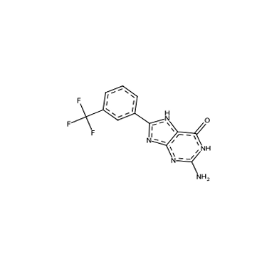 Nc1nc2nc(-c3cccc(C(F)(F)F)c3)[nH]c2c(=O)[nH]1